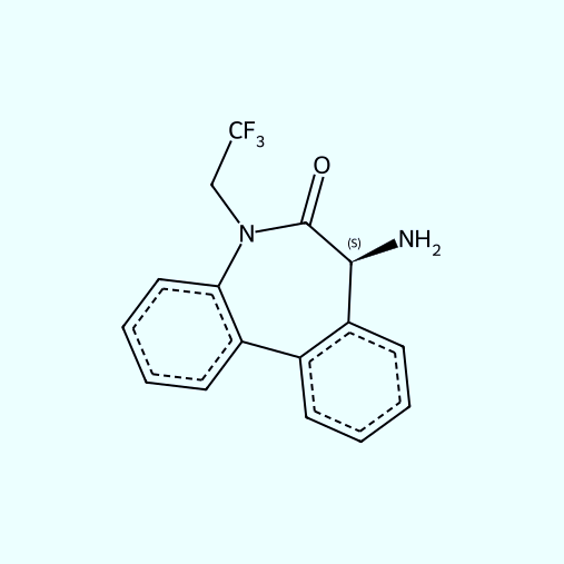 N[C@@H]1C(=O)N(CC(F)(F)F)c2ccccc2-c2ccccc21